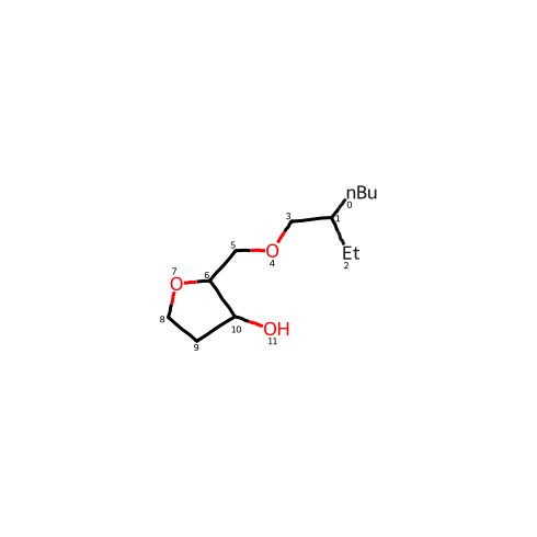 CCCCC(CC)COCC1OCCC1O